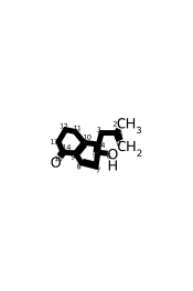 C=C(C)Cc1c(O)ccc2c1CCCC2=O